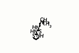 CN(C)CCNC(=S)NC1NCCCS1